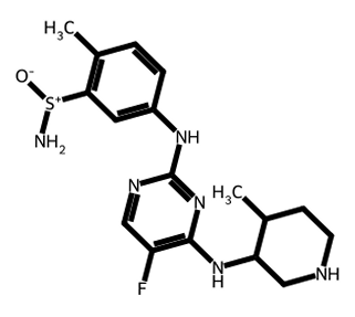 Cc1ccc(Nc2ncc(F)c(NC3CNCCC3C)n2)cc1[S+](N)[O-]